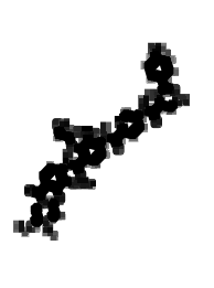 C=CCOC(=O)c1ccc(NC(=O)c2ccc(NC(=O)c3ccc(NC(=O)C(CC#N)NC(=O)c4ccc(N)cc4)cn3)c(OC)c2OCC=C)c(OC)c1OCC=C